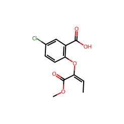 CC=C(Oc1ccc(Cl)cc1C(=O)O)C(=O)OC